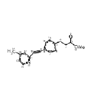 COC(=O)CCc1ccc(C#Cc2cc(C)ccn2)cc1